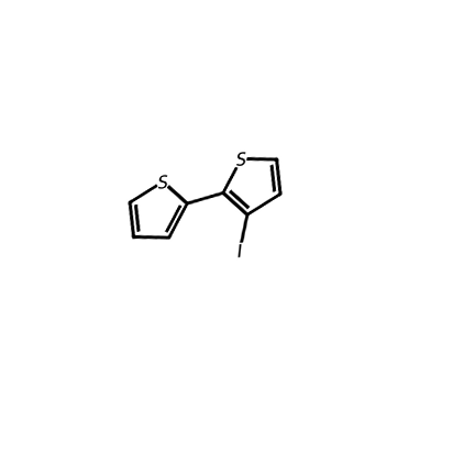 Ic1ccsc1-c1cccs1